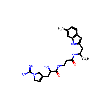 Cc1ccc2cc(CC(NC(=O)CCNC(=O)C(N)CC3=CCN(C(=N)N)C3)C(=O)O)[nH]c2c1